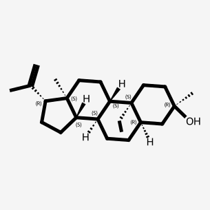 C=C(C)[C@H]1CC[C@H]2[C@@H]3CC[C@@H]4C[C@](C)(O)CC[C@]4(CC)[C@H]3CC[C@]12C